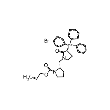 C=CCOC(=O)N1CCC[C@H]1CN1CC[C@H]([P+](c2ccccc2)(c2ccccc2)c2ccccc2)C1=O.[Br-]